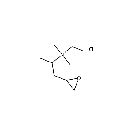 CC[N+](C)(C)C(C)CC1CO1.[Cl-]